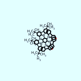 CC(C)(C)c1ccc2c(c1)-c1cc(C(C)(C)C)cc3c1B2c1c2c(c(-n4c5ccccc5c5ccccc54)c(-n4c5ccccc5c5ccccc54)c1-n1c4ccccc4c4ccccc41)B1c4ccc(C(C)(C)C)cc4-c4cc(C(C)(C)C)cc(c41)N32